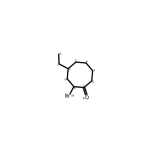 CCC1CCCCC(=O)C(Br)C1